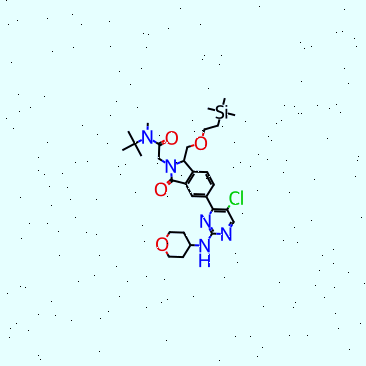 CN(C(=O)CN1C(=O)c2cc(-c3nc(NC4CCOCC4)ncc3Cl)ccc2C1COCC[Si](C)(C)C)C(C)(C)C